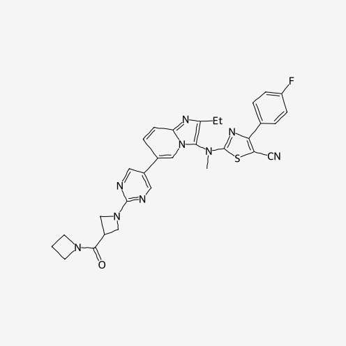 CCc1nc2ccc(-c3cnc(N4CC(C(=O)N5CCC5)C4)nc3)cn2c1N(C)c1nc(-c2ccc(F)cc2)c(C#N)s1